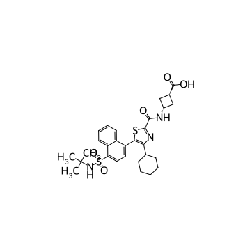 CC(C)(C)NS(=O)(=O)c1ccc(-c2sc(C(=O)N[C@H]3C[C@H](C(=O)O)C3)nc2C2CCCCC2)c2ccccc12